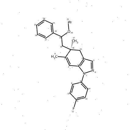 CC1=Cc2c(cnn2-c2ccc(F)cc2)C[C@]1(C)CC(OC(C)C)c1ccccc1